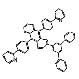 C1=CN=C(C2=CC=C(c3c4ccccc4c(-c4ccc(-c5ccccn5)cc4)c4ccc(-c5cc(-c6ccccc6)cc(-c6ccccc6)c5)cc34)CC2)CC1